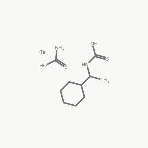 CC(NC(O)=S)C1CCCCC1.NC(O)=S.[Te]